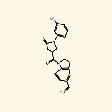 C=Cc1ccc2c(c1)CCN2C(=O)C1CC(=O)N(c2cccc(C#N)c2)C1